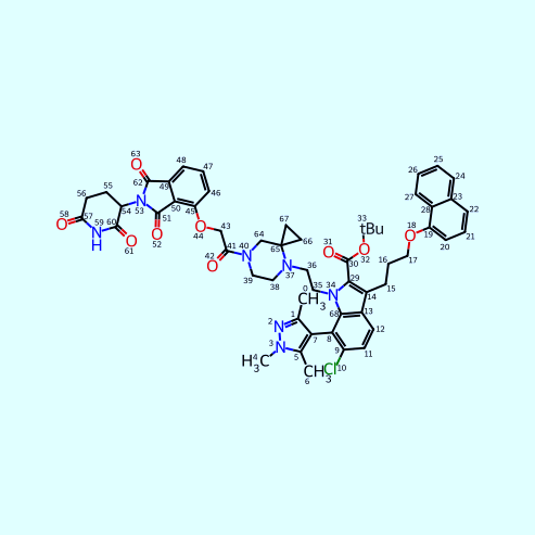 Cc1nn(C)c(C)c1-c1c(Cl)ccc2c(CCCOc3cccc4ccccc34)c(C(=O)OC(C)(C)C)n(CCN3CCN(C(=O)COc4cccc5c4C(=O)N(C4CCC(=O)NC4=O)C5=O)CC34CC4)c12